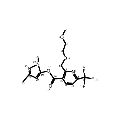 COCCOCc1nc(C(F)(F)F)ccc1C(=O)Oc1cc(C)nn1C